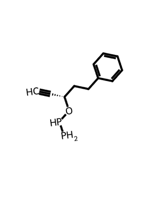 C#C[C@H](CCc1ccccc1)OPP